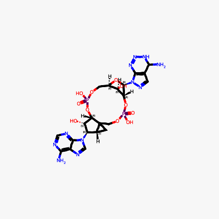 Nc1ncnc2c1ncn2[C@H]1[C@H](O)[C@@H]2OP(=O)(O)OC[C@H]3O[C@@H](n4ncc5c4N=NNC5N)[C@H](OP(=O)(O)OCC24C[C@H]14)[C@@H]3O